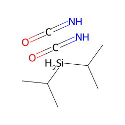 CC(C)[SiH2]C(C)C.N=C=O.N=C=O